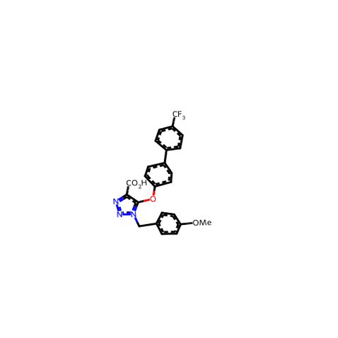 COc1ccc(Cn2nnc(C(=O)O)c2Oc2ccc(-c3ccc(C(F)(F)F)cc3)cc2)cc1